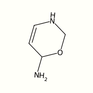 NC1C=CNCO1